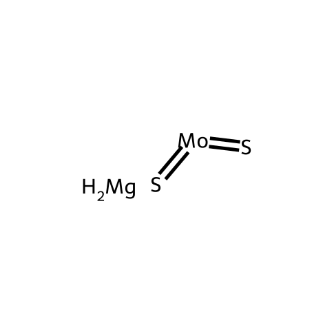 [MgH2].[S]=[Mo]=[S]